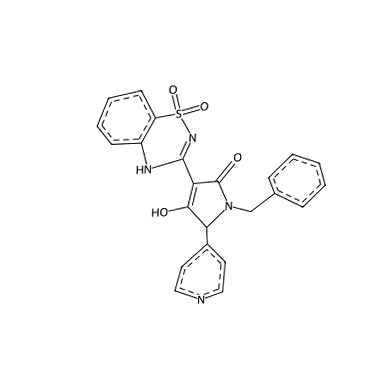 O=C1C(C2=NS(=O)(=O)c3ccccc3N2)=C(O)C(c2ccncc2)N1Cc1ccccc1